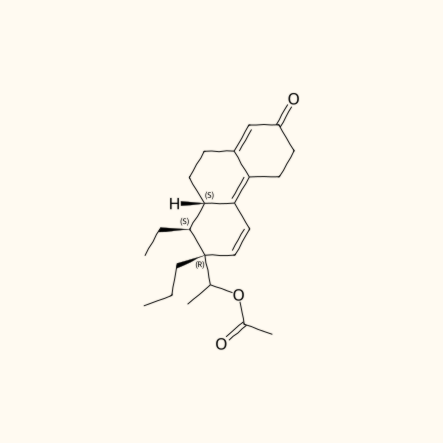 CCC[C@]1(C(C)OC(C)=O)C=CC2=C3CCC(=O)C=C3CC[C@H]2[C@@H]1CC